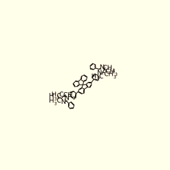 CC1(C)N=C(c2ccccc2)N(c2ccc(-c3ccc4c(c3)C3(c5ccccc5-c5ccccc53)c3cc(-c5ccc(N6C(c7ccccc7)=NC(C)(C)C6(C)C)cc5)ccc3-4)cc2)C1(C)C